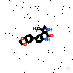 CC1CNc2c1c1cc(-c3ccc4c(c3)OCCO4)ccc1[nH]c2=O